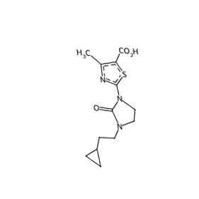 Cc1nc(N2CCN(CCC3CC3)C2=O)sc1C(=O)O